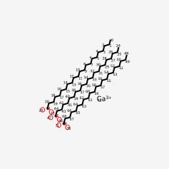 CCCCCCCCCCCCCCCCCCCCCC(=O)[O-].CCCCCCCCCCCCCCCCCCCCCC(=O)[O-].CCCCCCCCCCCCCCCCCCCCCC(=O)[O-].[Ga+3]